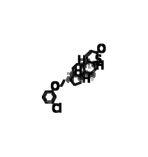 C[C@H]1C[C@H]2SC(=O)C=C[C@]2(C)[C@H]2CC[C@]3(C)[C@@H](CCOc4cccc(Cl)c4)CC[C@H]3[C@H]12